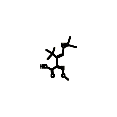 CON=C(C(=O)O)C(=CO[SiH](C)C)C(C)(C)C